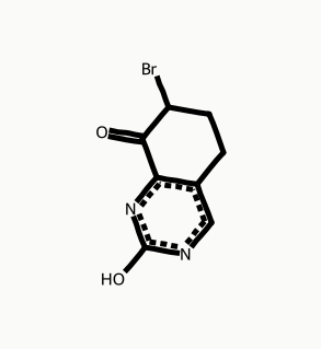 O=C1c2nc(O)ncc2CCC1Br